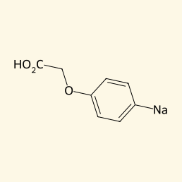 O=C(O)COc1cc[c]([Na])cc1